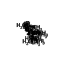 COCCCN1C(=O)C(C)(C)Oc2ccc(N(C(=O)[C@@H]3C[C@H](C(=O)N[C@H](CC(C)C)C(O)C(C)C)CN(C(=O)OC(C)(C)C)C3)C3CC3)cc21